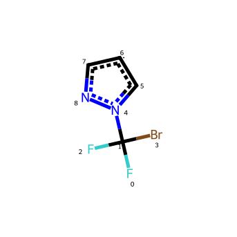 FC(F)(Br)n1c[c]cn1